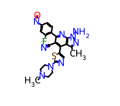 Cc1nn(N)c2nc(-c3ccc(N=O)cc3F)c(C#N)c(-c3cnc(N4CCN(C)CC4)s3)c12